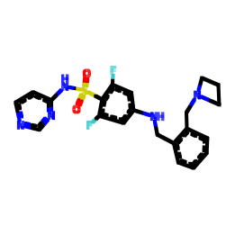 O=S(=O)(Nc1ccncn1)c1c(F)cc(NCc2ccccc2CN2CCC2)cc1F